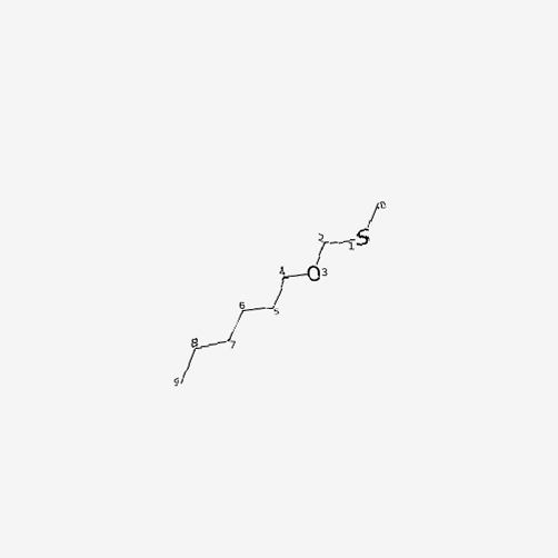 [CH2]SCOCCCCCC